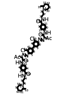 CC(=O)C(N=Nc1ccc(-c2ccc(N=NC(C(C)=O)C(=O)Nc3ccc(C(=O)NCCCN4CCCCC4C)cc3)c(Cl)c2)cc1Cl)C(=O)Nc1ccc(C(=O)NCCCN2CCCCC2C)cc1